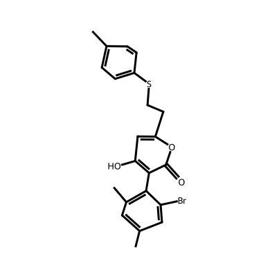 Cc1ccc(SCCc2cc(O)c(-c3c(C)cc(C)cc3Br)c(=O)o2)cc1